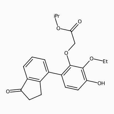 CCOc1c(O)ccc(-c2cccc3c2CCC3=O)c1OCC(=O)OC(C)C